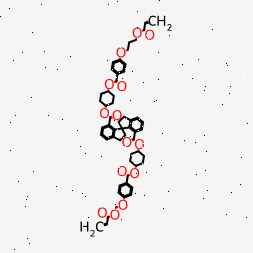 C=CC(=O)OCCCOc1ccc(C(=O)OC2CCC(OC(=O)c3cccc4c3C3(CC4)CCc4cccc(C(=O)OC5CCC(OC(=O)c6ccc(OCOC(=O)C=C)cc6)CC5)c43)CC2)cc1